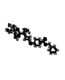 CN(C(=O)OC(C)(C)C)C1CC(OC2CCN(C(=O)OCc3ccccc3)CC2)C1